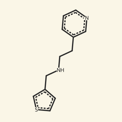 c1cncc(CCNCc2ccsc2)c1